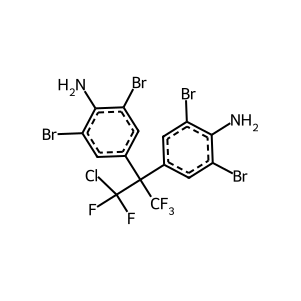 Nc1c(Br)cc(C(c2cc(Br)c(N)c(Br)c2)(C(F)(F)F)C(F)(F)Cl)cc1Br